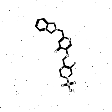 CS(=O)(=O)N1CCC(COc2coc(CN3Cc4ccccc4C3)cc2=O)=C(F)C1